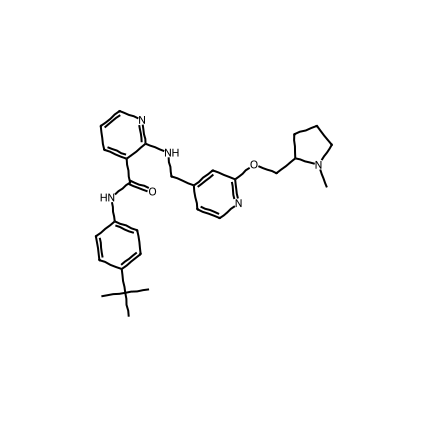 CN1CCCC1COc1cc(CNc2ncccc2C(=O)Nc2ccc(C(C)(C)C)cc2)ccn1